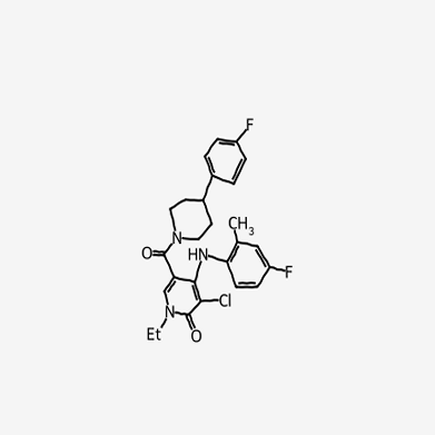 CCn1cc(C(=O)N2CCC(c3ccc(F)cc3)CC2)c(Nc2ccc(F)cc2C)c(Cl)c1=O